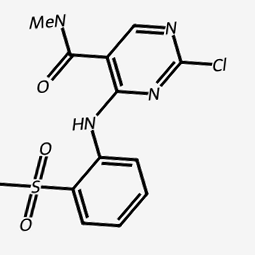 CNC(=O)c1cnc(Cl)nc1Nc1ccccc1S(C)(=O)=O